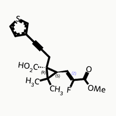 COC(=O)/C(F)=C/[C@H]1C(C)(C)[C@]1(CC#Cc1ccsc1)C(=O)O